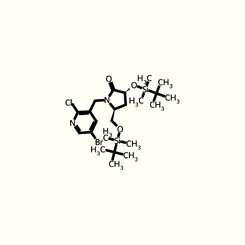 CC(C)(C)[Si](C)(C)OC[C@@H]1C[C@@H](O[Si](C)(C)C(C)(C)C)C(=O)N1Cc1cc(Br)cnc1Cl